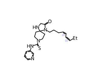 CC/C=C\C=C/CCCN1C(=O)CNC12CCN(C(=S)Nc1cccnc1)CC2